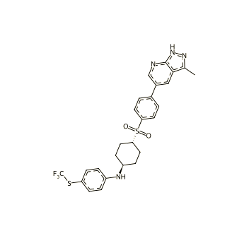 Cc1n[nH]c2ncc(-c3ccc(S(=O)(=O)[C@H]4CC[C@H](Nc5ccc(SC(F)(F)F)cc5)CC4)cc3)cc12